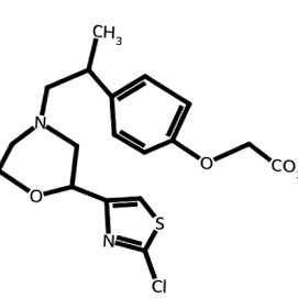 CC(CN1CCOC(c2csc(Cl)n2)C1)c1ccc(OCC(=O)O)cc1